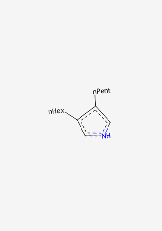 CCCCCCc1c[nH]cc1CCCCC